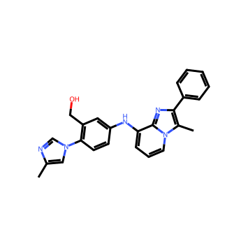 Cc1cn(-c2ccc(Nc3cccn4c(C)c(-c5ccccc5)nc34)cc2CO)cn1